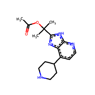 CC(=O)OC(C)(C)c1nc2c(C3CCNCC3)ccnc2[nH]1